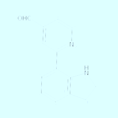 O=Cc1ccnc(-c2cccc3c2NCC3)c1